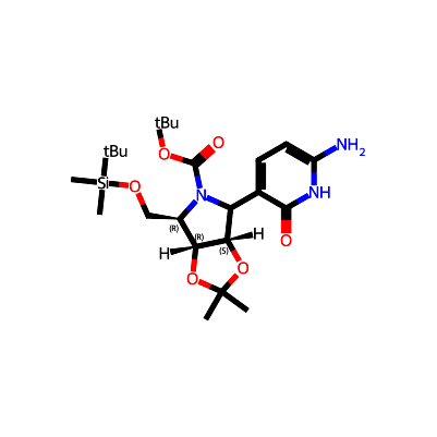 CC(C)(C)OC(=O)N1C(c2ccc(N)[nH]c2=O)[C@@H]2OC(C)(C)O[C@@H]2[C@H]1CO[Si](C)(C)C(C)(C)C